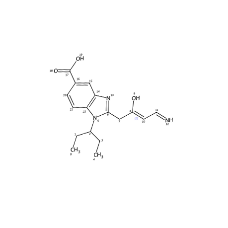 CCC(CC)n1c(C/C(O)=C/C=N)nc2cc(C(=O)O)ccc21